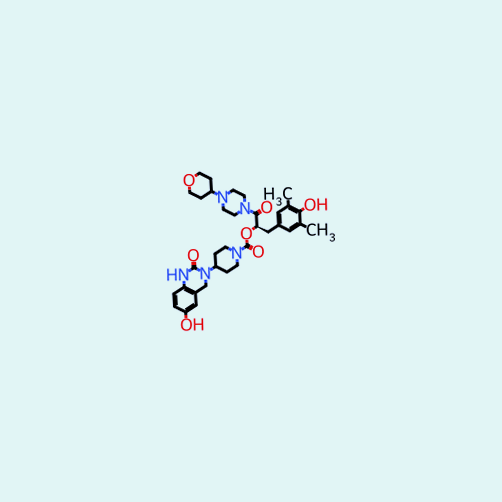 Cc1cc(C[C@@H](OC(=O)N2CCC(N3Cc4cc(O)ccc4NC3=O)CC2)C(=O)N2CCN(C3CCOCC3)CC2)cc(C)c1O